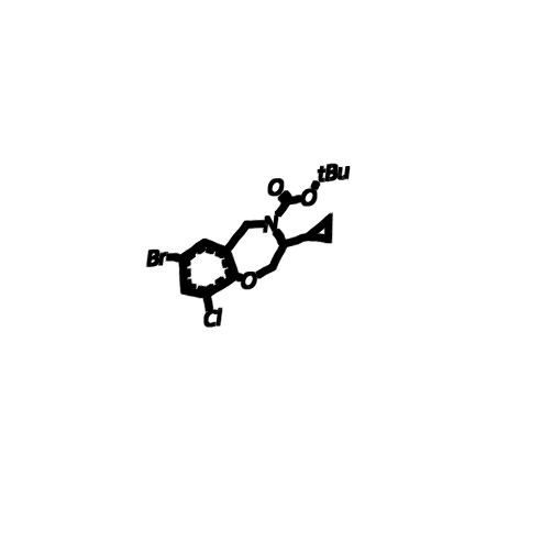 CC(C)(C)OC(=O)N1Cc2cc(Br)cc(Cl)c2OCC1C1CC1